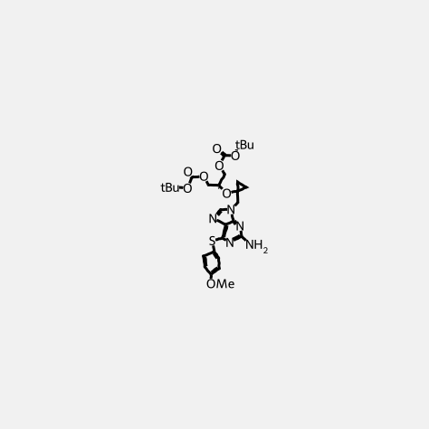 COc1ccc(Sc2nc(N)nc3c2ncn3CC2(O[C](COC(=O)OC(C)(C)C)COC(=O)OC(C)(C)C)CC2)cc1